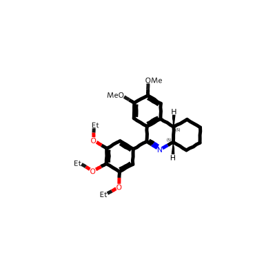 CCOc1cc(C2=N[C@H]3CCCC[C@H]3c3cc(OC)c(OC)cc32)cc(OCC)c1OCC